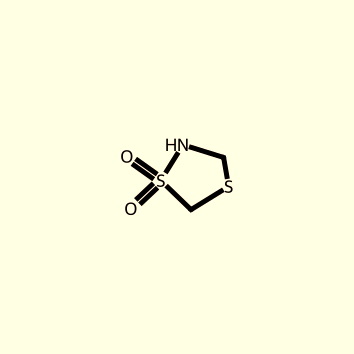 O=S1(=O)CSCN1